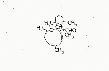 CC1=CCCC=C(C)CCC(C(C=O)C2=C(C)CCCC2(C)C)C(C)=CC1